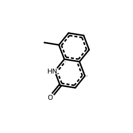 Cc1cccc2[c]cc(=O)[nH]c12